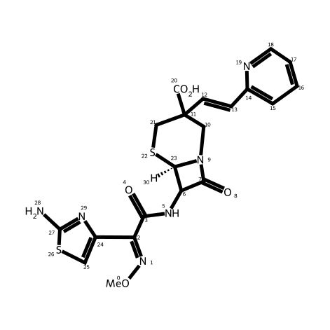 CON=C(C(=O)NC1C(=O)N2CC(C=Cc3ccccn3)(C(=O)O)CS[C@H]12)c1csc(N)n1